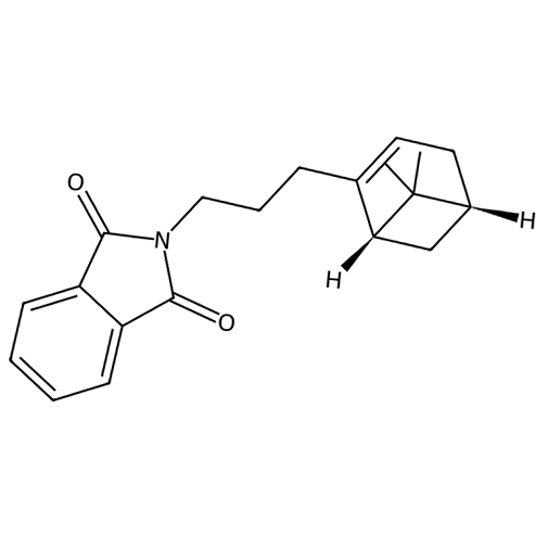 CC1(C)[C@@H]2CC=C(CCCN3C(=O)c4ccccc4C3=O)[C@H]1C2